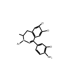 CC(=O)N1N=C(c2ccc(N)c(Cl)c2)c2cc(Cl)c(Cl)cc2CC1C